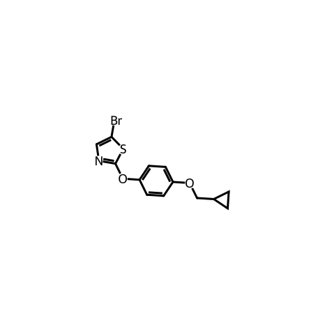 Brc1cnc(Oc2ccc(OCC3CC3)cc2)s1